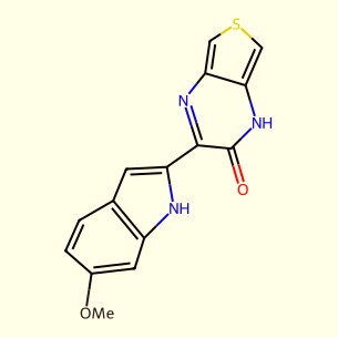 COc1ccc2cc(-c3nc4cscc4[nH]c3=O)[nH]c2c1